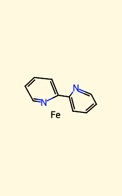 [Fe].c1ccc(-c2ccccn2)nc1